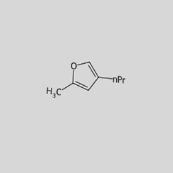 CCCc1coc(C)c1